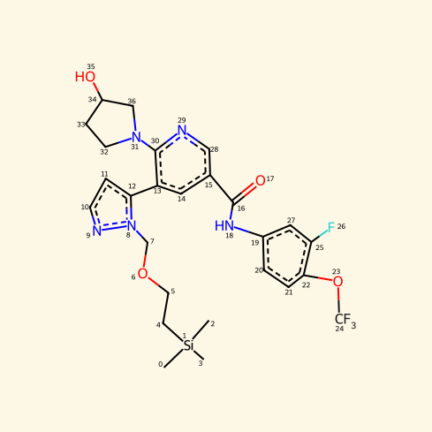 C[Si](C)(C)CCOCn1nccc1-c1cc(C(=O)Nc2ccc(OC(F)(F)F)c(F)c2)cnc1N1CCC(O)C1